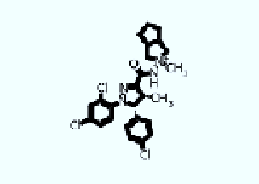 C[C@H]1C(C(=O)N[N+]2(C)CC3CCCC3C2)=NN(c2ccc(Cl)cc2Cl)[C@H]1c1ccc(Cl)cc1